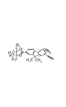 C=C(C#N)/C=C1\C(=C/C)c2ccc(B3OC(C)(C)C(C)(C)O3)cc2C1(C)C